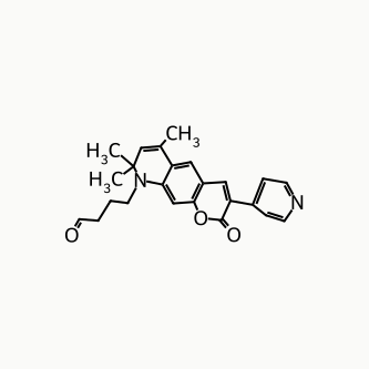 CC1=CC(C)(C)N(CCCC=O)c2cc3oc(=O)c(-c4ccncc4)cc3cc21